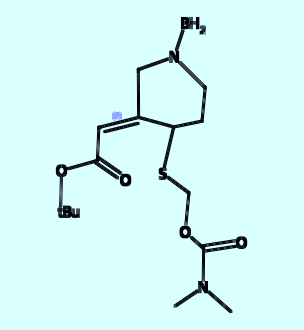 BN1CCC(SCOC(=O)N(C)C)/C(=C\C(=O)OC(C)(C)C)C1